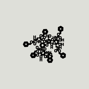 O=C(NCC[C@H](OC(=O)c1ccccc1)C(=O)N[C@@H]1C[C@H](NC(=O)OCc2ccccc2)[C@@H](O[C@H]2O[C@H](CO)[C@@H](O)[C@H](O)[C@H]2NC(=O)OCc2ccccc2)[C@H](O[C@@H]2O[C@H](CO)[C@@H](O[C@H]3O[C@@H](CNC(=O)OCc4ccccc4)[C@@H](O)[C@H](O)[C@H]3NC(=O)OCc3ccccc3)[C@H]2O)[C@H]1O)OCc1ccccc1